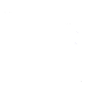 CCCCCCCCCCCCCCCCCCc1n(CCCCCCCCCCCCCC)cc[n+]1CCCCCCCC